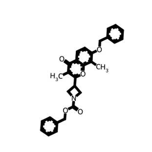 Cc1c(C2CN(C(=O)OCc3ccccc3)C2)oc2c(C)c(OCc3ccccc3)ccc2c1=O